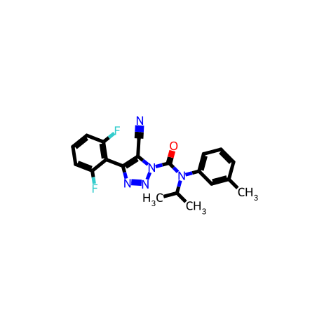 Cc1cccc(N(C(=O)n2nnc(-c3c(F)cccc3F)c2C#N)C(C)C)c1